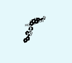 C[C@]12C[C@H](N3CCN(C(=O)[C@@H]4CCCN4C(=O)c4ccc5ccccc5c4)CC3)[C@@H](O)C[C@@H]1CC[C@@H]1[C@@H]2CC[C@@]2(C)[C@H]1CC[C@@]2(O)C#C[Si](C)(C)C